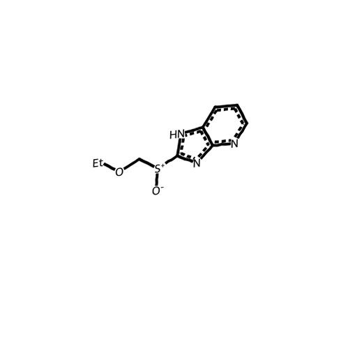 CCOC[S+]([O-])c1nc2ncccc2[nH]1